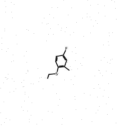 CCSc1ccc(F)cc1C